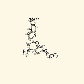 COc1ccc2nc(C(=O)NC(C)c3ccc(OCC(F)(F)F)cn3)ccc2c1